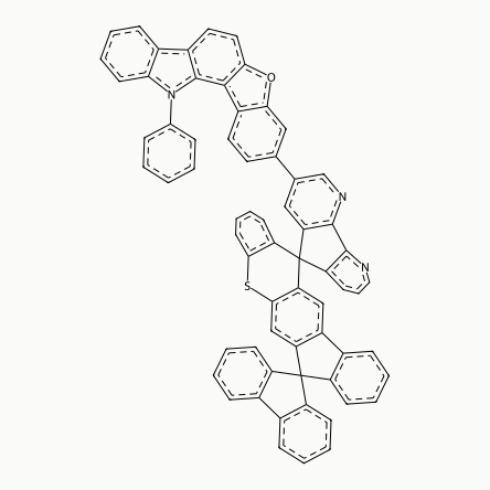 c1ccc(-n2c3ccccc3c3ccc4oc5cc(-c6cnc7c(c6)C6(c8ccccc8Sc8cc9c(cc86)-c6ccccc6C96c8ccccc8-c8ccccc86)c6cccnc6-7)ccc5c4c32)cc1